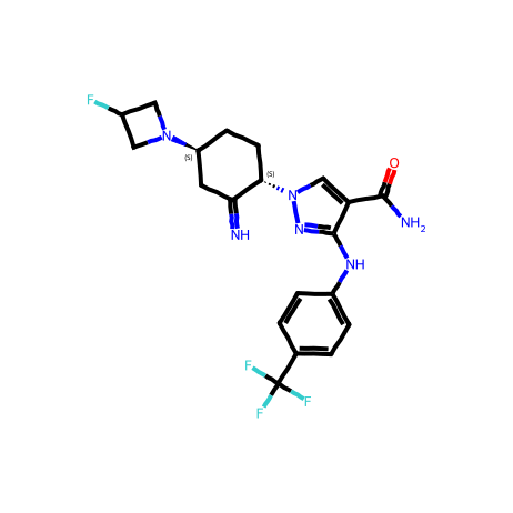 N=C1C[C@@H](N2CC(F)C2)CC[C@@H]1n1cc(C(N)=O)c(Nc2ccc(C(F)(F)F)cc2)n1